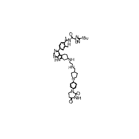 Cc1cc(-c2ncnc3[nH]c4c(c23)CCC(NCCNCC2CCN(c3ccc(N5CCC(=O)NC5=O)cc3)CC2)C4)ccc1[C@@H](C)NC(=O)c1nc(C(C)(C)C)no1